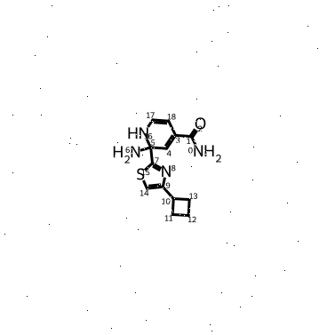 NC(=O)C1=CC(N)(c2nc(C3CCC3)cs2)NC=C1